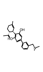 C=C(C)[C@@H]1CCC(C)=C[C@H]1c1c(O)cc(-c2cccc(CN(C)C)c2)cc1O